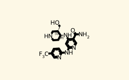 NC(=O)c1cnc(Nc2ccc(C(F)(F)F)cn2)cc1N[C@@H]1CCNC[C@@H]1CO